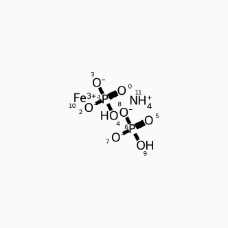 O=P([O-])([O-])O.O=P([O-])([O-])O.[Fe+3].[NH4+]